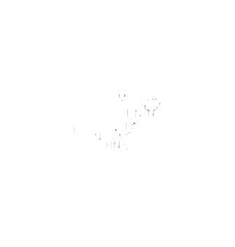 COc1cncnc1N/C(C)=C/C(C)=C1/C(=O)NC2(CCN(CC(F)(F)F)CC2)N1C=O